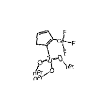 CCC[O][Zr]([O]CCC)([O]CCC)[C]1=[C]([Ge]([F])([F])[F])C=CC1